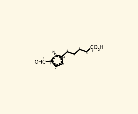 O=Cc1ccc(CCCCC(=O)O)s1